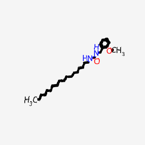 CCCCCCCCCCCCCCCCCCNC(=O)NCc1ccccc1OC